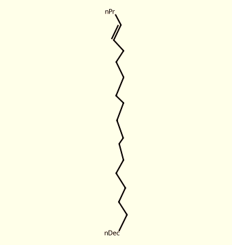 CCCC=CCCCCCCCCCCCCCCCCCCCCCCC